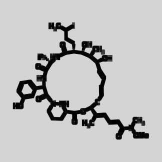 CON(C)C(=O)/C=C/C=C(\C)[C@@H]1C/C=C/C=C/[C@H](O)[C@H](C)[C@@H](O)[C@@H](CCC(C)I)C(=O)N[C@@H](C(C)C)C(=O)NC(c2cccc(O)c2)C(=O)N2CCCC(N2)C(=O)O1